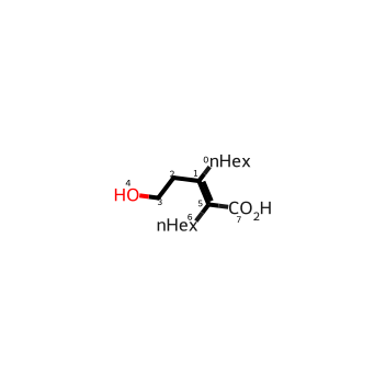 CCCCCCC(CCO)=C(CCCCCC)C(=O)O